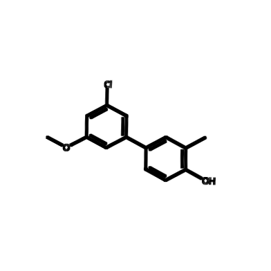 COc1cc(Cl)cc(-c2ccc(O)c(C)c2)c1